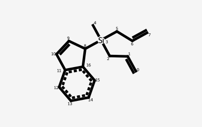 C=CC[Si](C)(CC=C)C1C=Cc2ccccc21